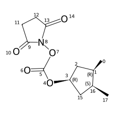 C[C@@H]1C[C@H](OC(=O)ON2C(=O)CCC2=O)C[C@@H]1C